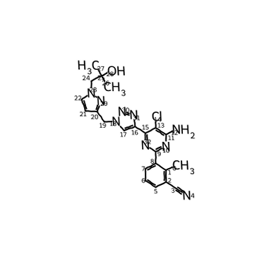 Cc1c(C#N)cccc1-c1nc(N)c(Cl)c(-c2cn(Cc3ccn(CC(C)(C)O)n3)nn2)n1